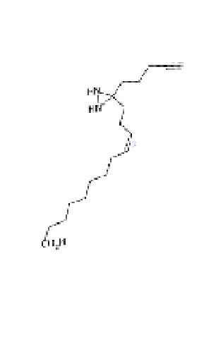 C#CCCCC1(CC/C=C\CCCCCCCC(=O)O)NN1